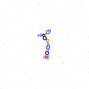 CN1CCC(c2c[nH]c3ccc(OCCN4CCN(c5ccc([N+](=O)[O-])cc5)CC4)cc23)CC1